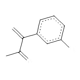 C=C(C(C)=O)c1cccc(Cl)c1